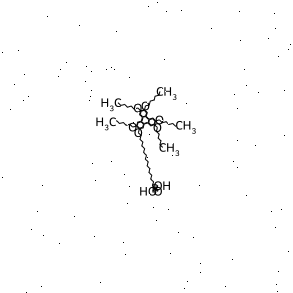 CCCCCCOc1cc2c3cc(OCCCCCC)c(OCCCCCC)cc3c3cc(OCCCCCCCCCCCCCCCCP(=O)(O)O)c(OCCCCCC)cc3c2cc1OCCCCCC